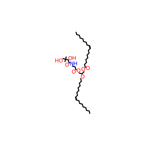 CCCCCCCC/C=C\CCCCCCCCOC(COC(=O)CCCCCCC/C=C\CCCCCCCC)COC(=O)CCNC(=O)[C@H](O)C(C)(C)CO